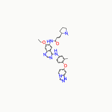 CCOc1cc2ncnc(Nc3ccc(Oc4ccn5cnnc5c4)c(C)c3)c2cc1NC(=O)/C=C/[C@H]1CCCN1C